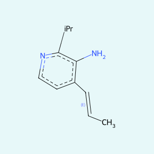 C/C=C/c1ccnc(C(C)C)c1N